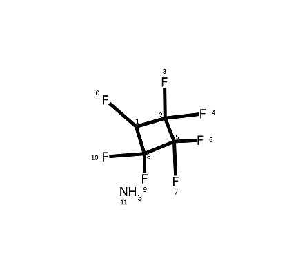 FC1C(F)(F)C(F)(F)C1(F)F.N